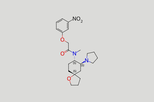 CN(C(=O)COc1cccc([N+](=O)[O-])c1)[C@H]1CC[C@]2(CCCO2)C[C@@H]1N1CCCC1